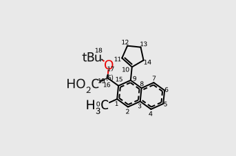 Cc1cc2ccccc2c(C2=CCCC2)c1[C@H](OC(C)(C)C)C(=O)O